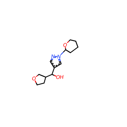 OC(c1cnn(C2CCCCO2)c1)C1CCOC1